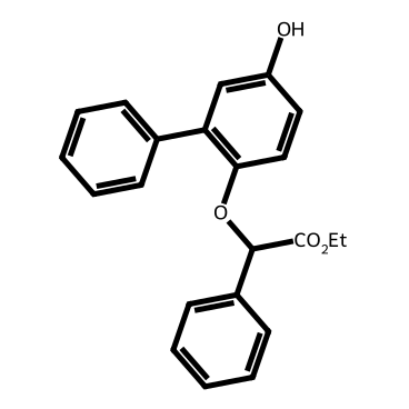 CCOC(=O)C(Oc1ccc(O)cc1-c1ccccc1)c1ccccc1